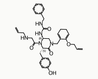 C=CCNCC(=O)N1[C@@H](NC(=O)NCc2ccccc2)CN(CC2=CCCC=C2OCC=C)C(=O)[C@@H]1Cc1ccc(O)cc1